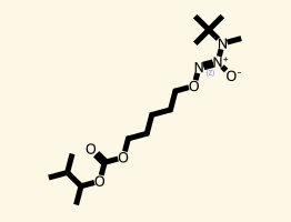 CC(C)C(C)OC(=O)OCCCCCO/N=[N+](\[O-])N(C)C(C)(C)C